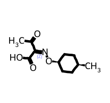 CC(=O)/C(=N/O[C@H]1CC[C@@H](C)CC1)C(=O)O